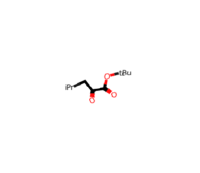 CC(C)CC(=O)C(=O)OC(C)(C)C